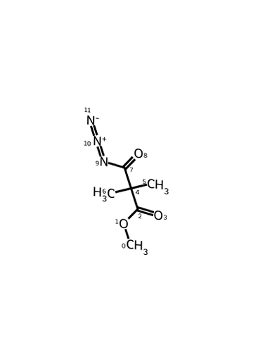 COC(=O)C(C)(C)C(=O)N=[N+]=[N-]